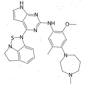 COc1cc(N2CCCN(C)CC2)c(C)cc1Nc1nc(N2SN3CCc4cccc2c43)c2cc[nH]c2n1